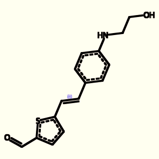 O=Cc1ccc(/C=C/c2ccc(NCCO)cc2)s1